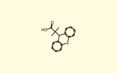 CC(C)(C(=O)O)C1c2ccccc2Sc2ccccc21